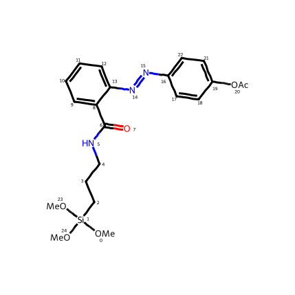 CO[Si](CCCNC(=O)c1ccccc1/N=N/c1ccc(OC(C)=O)cc1)(OC)OC